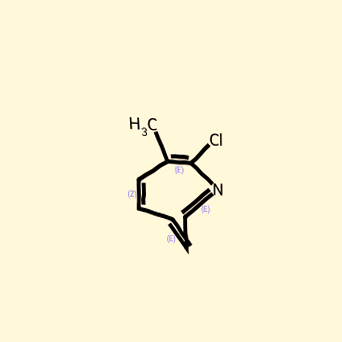 CC1=C(Cl)/N=C/C=C/C=C\1